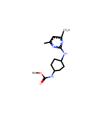 Cc1cc(C(=O)O)nc(NC2CCC(NC(=O)OC(C)(C)C)CC2)n1